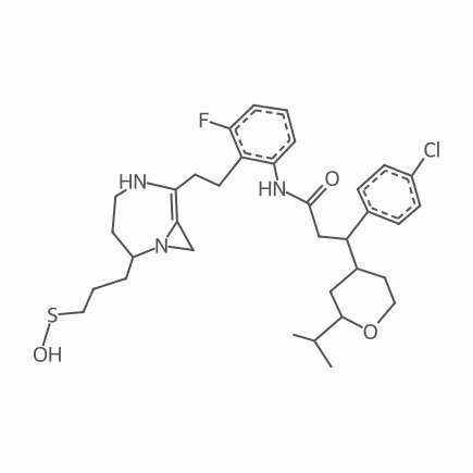 CC(C)C1CC(C(CC(=O)Nc2cccc(F)c2CCC2=C3CN3C(CCCSO)CCN2)c2ccc(Cl)cc2)CCO1